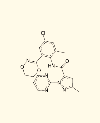 Cc1cc(C(=O)Nc2c(C)cc(Cl)cc2C2=NOCCO2)n(-c2ncccn2)n1